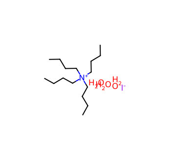 CCCC[N+](CCCC)(CCCC)CCCC.O.O.O.[I-]